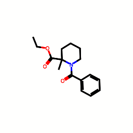 CCOC(=O)C1(C)CCCCN1C(=O)c1ccccc1